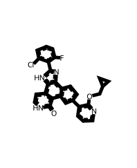 O=c1[nH]ccc2c3[nH]c(-c4c(F)cccc4Cl)nc3c3ccc(-c4cccnc4OCC4CC4)cc3c12